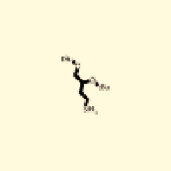 CC(C)(C)OCC(CC[SiH3])OC(C)(C)C